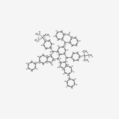 CC(C)(C)c1ccc(N2c3cc(N4c5ccccc5Oc5ccccc54)cc4c3B(c3oc5cc(-c6ccccc6)ccc5c32)c2oc3cc(-c5ccccc5)ccc3c2N4c2ccc(C(C)(C)C)cc2)cc1